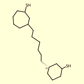 SC1CCCCC(CCCCCC[C@H]2CCCC(S)C2)C1